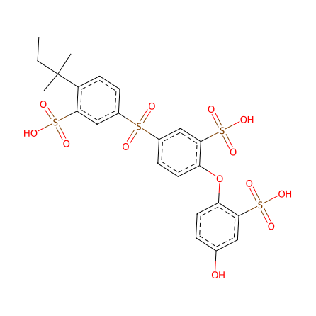 CCC(C)(C)c1ccc(S(=O)(=O)c2ccc(Oc3ccc(O)cc3S(=O)(=O)O)c(S(=O)(=O)O)c2)cc1S(=O)(=O)O